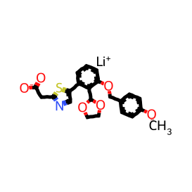 COc1ccc(COc2cccc(-c3cnc(CC(=O)[O-])s3)c2C2OCCO2)cc1.[Li+]